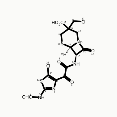 O=CNc1nc(C(=O)C(=O)N[C@@H]2C(=O)N3CC(CCl)(C(=O)O)CS[C@H]23)c(Cl)s1